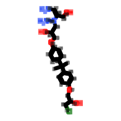 CC(C)(c1ccc(OCC(O)CCl)cc1)c1ccc(OCC(O)CN(N)/C(=C\N)CO)cc1